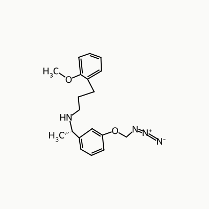 COc1ccccc1CCCN[C@@H](C)c1cccc(OCN=[N+]=[N-])c1